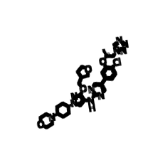 C[C@@H](Cn1cnnn1)Oc1cc(-c2cnc(Nc3cn([C@H]4CC[C@H](N5CCOCC5)CC4)nc3OCC3CCOC3)nc2)ccc1Cl